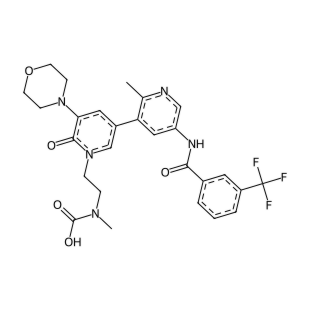 Cc1ncc(NC(=O)c2cccc(C(F)(F)F)c2)cc1-c1cc(N2CCOCC2)c(=O)n(CCN(C)C(=O)O)c1